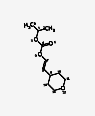 CC(C)OC(=O)OC=CC1CCOCC1